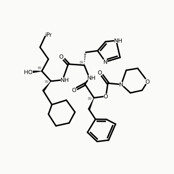 CC(C)CC[C@H](O)[C@H](CC1CCCCC1)NC(=O)[C@H](Cc1c[nH]cn1)NC(=O)[C@H](Cc1ccccc1)OC(=O)N1CCOCC1